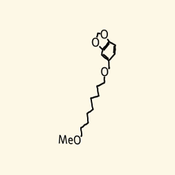 COCCCCCCCCCOCc1ccc2c(c1)OCO2